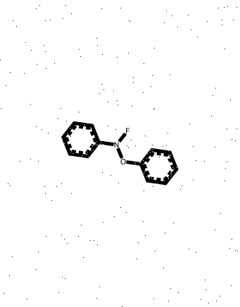 FN(Oc1ccccc1)c1ccccc1